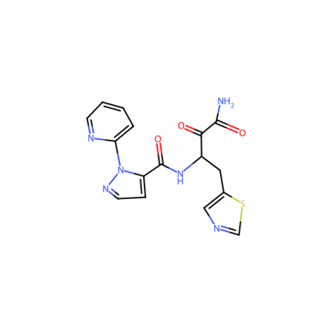 NC(=O)C(=O)C(Cc1cncs1)NC(=O)c1ccnn1-c1ccccn1